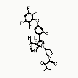 CC(C)C(=O)C(=O)N1CCC(n2nc(-c3ccc(Oc4c(F)c(F)cc(F)c4F)cc3F)c3c(N)ncnc32)C1